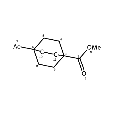 COC(=O)C12CCC(C(C)=O)(CC1)CC2